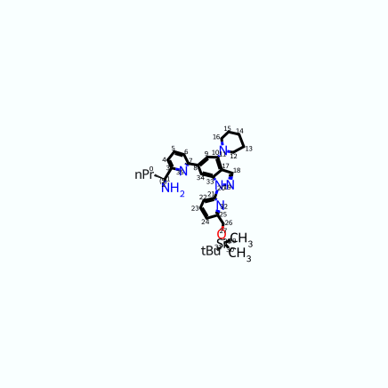 CCC[C@H](N)c1cccc(-c2cc(N3CCCCC3)c3cnn(-c4cccc(CO[Si](C)(C)C(C)(C)C)n4)c3c2)n1